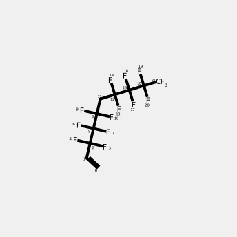 C=CC(F)(F)C(F)(F)C(F)(F)CC(F)(F)C(F)(F)C(F)(F)C(F)(F)F